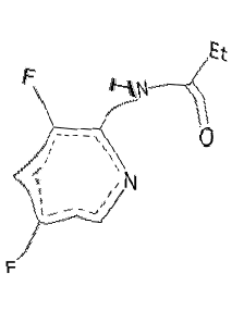 CCC(=O)Nc1ncc(F)cc1F